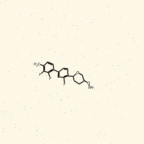 CCCOC1CCC(c2ccc(-c3ccc(C)c(F)c3F)cc2F)OC1